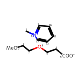 COCCOCCC(=O)[O-].C[n+]1ccccc1